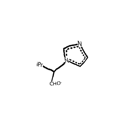 CC(C)C([C]=O)n1ccnc1